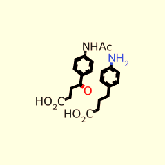 CC(=O)Nc1ccc(C(=O)CCC(=O)O)cc1.Nc1ccc(CCCC(=O)O)cc1